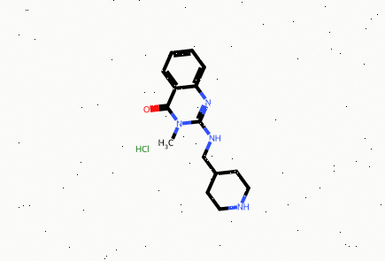 Cl.Cn1c(NCC2CCNCC2)nc2ccccc2c1=O